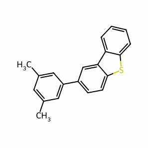 Cc1cc(C)cc(-c2ccc3sc4ccccc4c3c2)c1